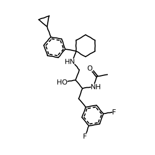 CC(=O)NC(Cc1cc(F)cc(F)c1)C(O)CNC1(c2cccc(C3CC3)c2)CCCCC1